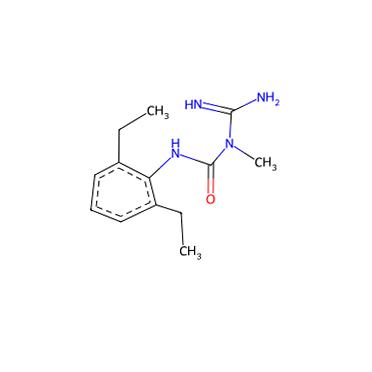 CCc1cccc(CC)c1NC(=O)N(C)C(=N)N